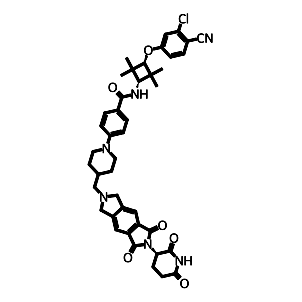 CC1(C)[C@H](NC(=O)c2ccc(N3CCC(CN4Cc5cc6c(cc5C4)C(=O)N([C@@H]4CCC(=O)NC4=O)C6=O)CC3)cc2)C(C)(C)[C@H]1Oc1ccc(C#N)c(Cl)c1